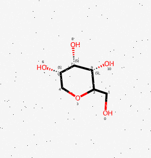 OCC1O[CH][C@H](O)[C@H](O)[C@@H]1O